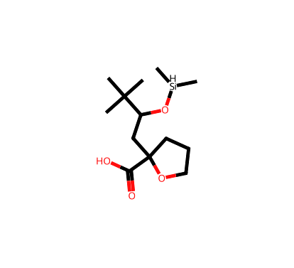 C[SiH](C)OC(CC1(C(=O)O)CCCO1)C(C)(C)C